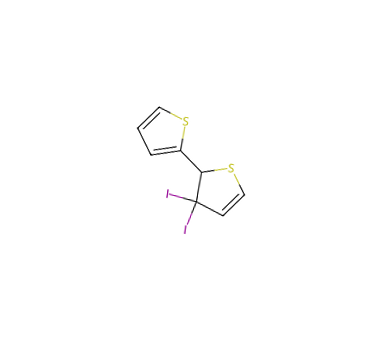 IC1(I)C=CSC1c1cccs1